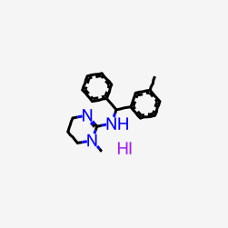 Cc1cccc(C(NC2=NCCCN2C)c2ccccc2)c1.I